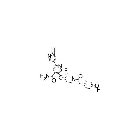 NC(=O)c1cc(-c2cn[nH]c2)ncc1O[C@H]1CCN(C(=O)Cc2ccc(OF)cc2)C[C@H]1F